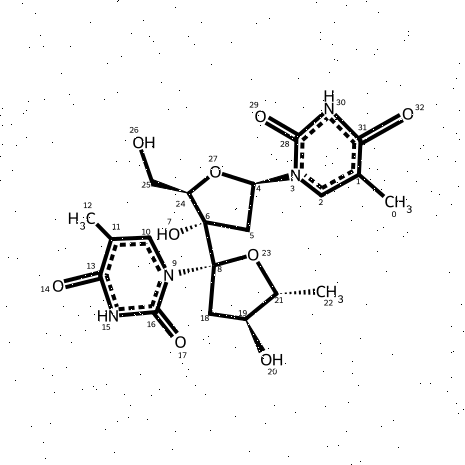 Cc1cn([C@H]2C[C@@](O)([C@]3(n4cc(C)c(=O)[nH]c4=O)C[C@H](O)[C@@H](C)O3)[C@@H](CO)O2)c(=O)[nH]c1=O